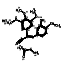 COc1ccc(/C=C(/C#N)c2cc(OC)c(OC)c(OC)c2)cc1N.Cl.NCC(N)=O